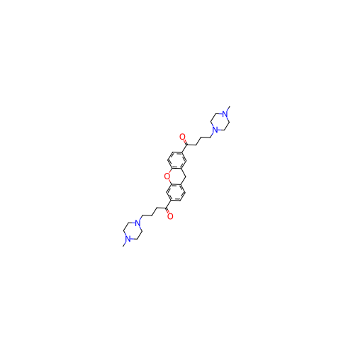 CN1CCN(CCCC(=O)c2ccc3c(c2)Cc2ccc(C(=O)CCCN4CCN(C)CC4)cc2O3)CC1